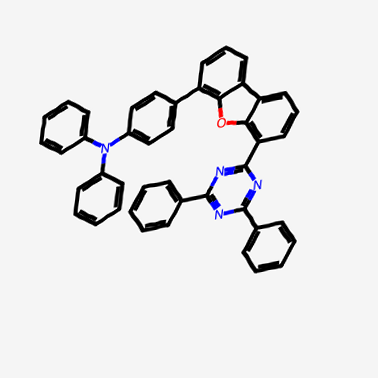 c1ccc(-c2nc(-c3ccccc3)nc(-c3cccc4c3oc3c(-c5ccc(N(c6ccccc6)c6ccccc6)cc5)cccc34)n2)cc1